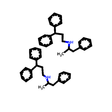 CC(Cc1ccccc1)NCCC(c1ccccc1)c1ccccc1.CC(Cc1ccccc1)NCCC(c1ccccc1)c1ccccc1